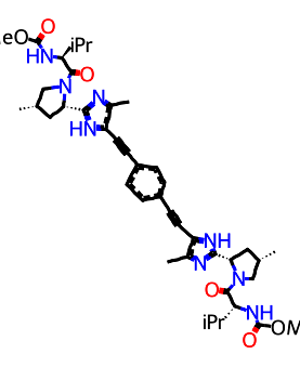 COC(=O)N[C@H](C(=O)N1C[C@@H](C)C[C@H]1c1nc(C)c(C#Cc2ccc(C#Cc3[nH]c([C@@H]4C[C@H](C)CN4C(=O)[C@H](NC(=O)OC)C(C)C)nc3C)cc2)[nH]1)C(C)C